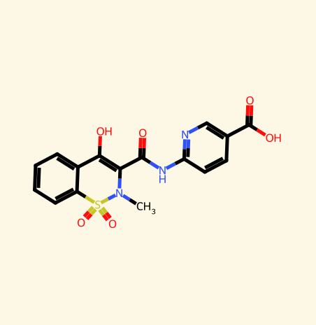 CN1C(C(=O)Nc2ccc(C(=O)O)cn2)=C(O)c2ccccc2S1(=O)=O